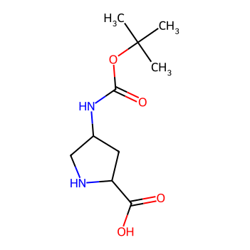 CC(C)(C)OC(=O)NC1CNC(C(=O)O)C1